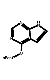 CCCCCOc1ncnc2[nH]ccc12